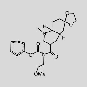 COCCN(C(=O)Oc1ccccc1)C(=O)[C@@H]1C[C@@H]2CC3(CC[C@H]2N(C)C1)OCCO3